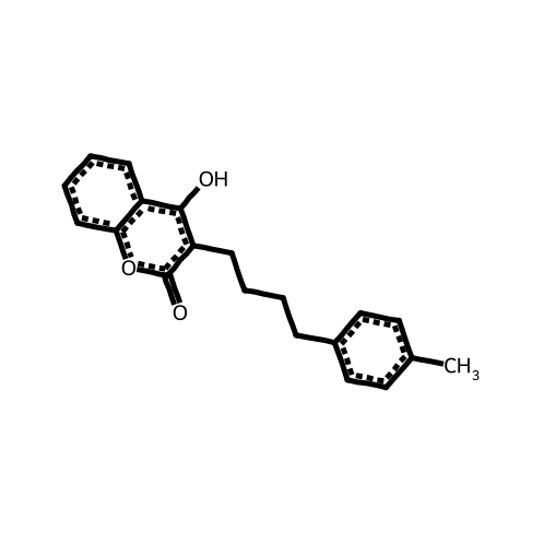 Cc1ccc(CCCCc2c(O)c3ccccc3oc2=O)cc1